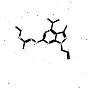 C=CCn1nc(C)c2c(C(C)C)cc(O/N=C(\C)OCC)nc21